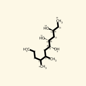 CCCC(C)C(C)C[C@@H](O)[C@H](O)C[C@@H](O)CC